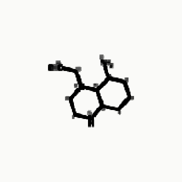 NC1CCCC2NCCN(CC=O)C12